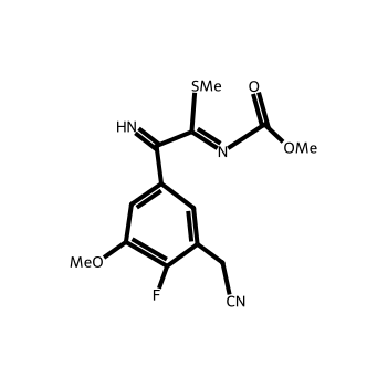 COC(=O)N=C(SC)C(=N)c1cc(CC#N)c(F)c(OC)c1